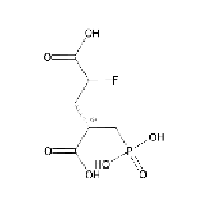 O=C(O)C(F)C[C@H](CP(=O)(O)O)C(=O)O